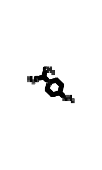 CC(C)N1[CH]CC(N)CC1